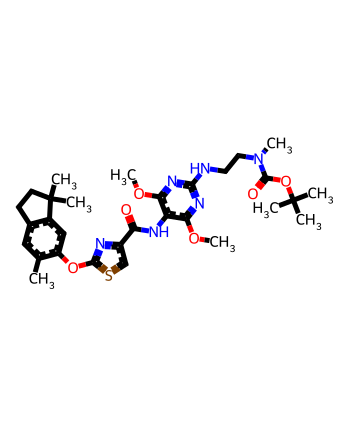 COc1nc(NCCN(C)C(=O)OC(C)(C)C)nc(OC)c1NC(=O)c1csc(Oc2cc3c(cc2C)CCC3(C)C)n1